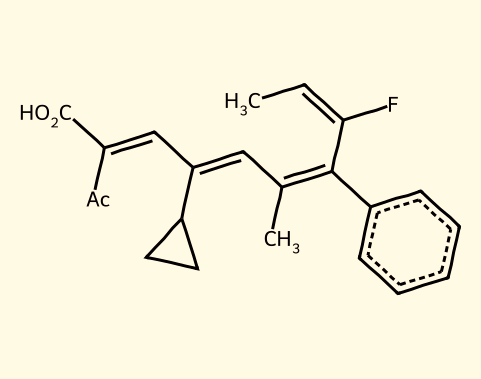 C\C=C(F)/C(=C(C)\C=C(\C=C(/C(C)=O)C(=O)O)C1CC1)c1ccccc1